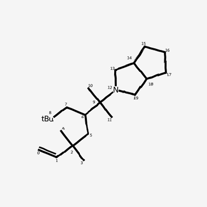 C=CC(C)(C)CC(CC(C)(C)C)C(C)(C)N1CC2CCCC2C1